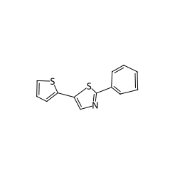 c1ccc(-c2ncc(-c3cccs3)s2)cc1